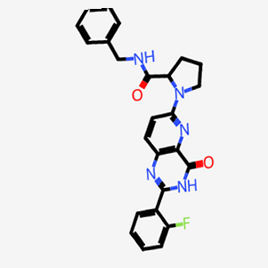 O=C(NCc1ccccc1)C1CCCN1c1ccc2nc(-c3ccccc3F)[nH]c(=O)c2n1